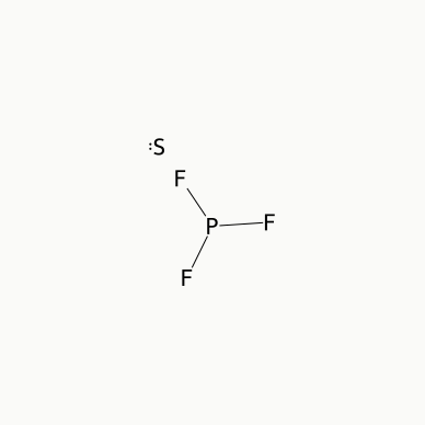 FP(F)F.[S]